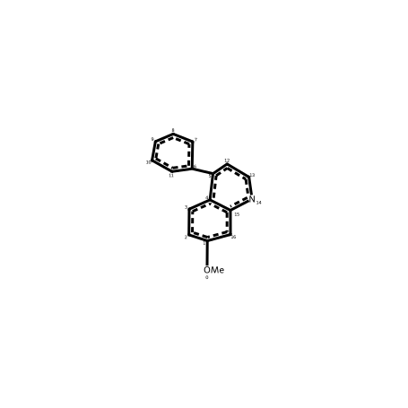 COc1ccc2c(-c3ccccc3)ccnc2c1